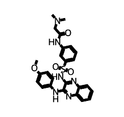 COc1ccc(Nc2nc3ccccc3nc2NS(=O)(=O)c2cccc(NC(=O)CN(C)C)c2)cc1